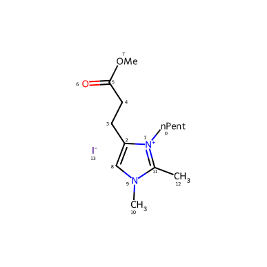 CCCCC[n+]1c(CCC(=O)OC)cn(C)c1C.[I-]